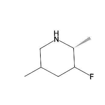 CC1CN[C@H](C)C(F)C1